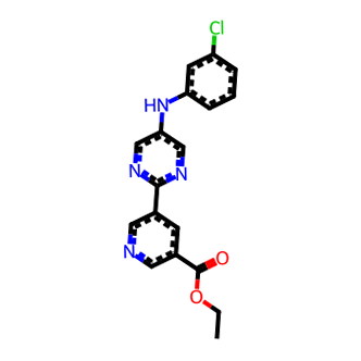 CCOC(=O)c1cncc(-c2ncc(Nc3cccc(Cl)c3)cn2)c1